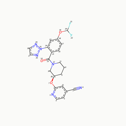 N#Cc1ccnc(O[C@@H]2CCCN(C(=O)c3ccc(OC(F)F)cc3-n3nccn3)C2)c1